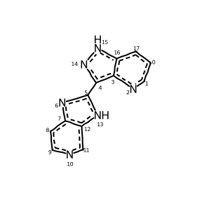 c1cnc2c(-c3nc4ccncc4[nH]3)n[nH]c2c1